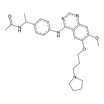 COc1cc2ncnc(Nc3ccc(C(C)NC(C)=O)cc3)c2cc1OCCCN1CCCC1